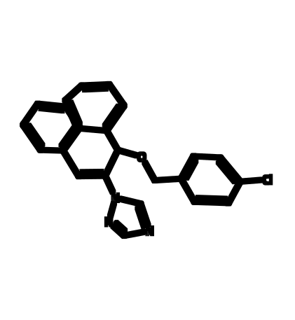 Clc1ccc(COC(/C(=C\c2ccccc2)n2cncn2)c2ccccc2)cc1